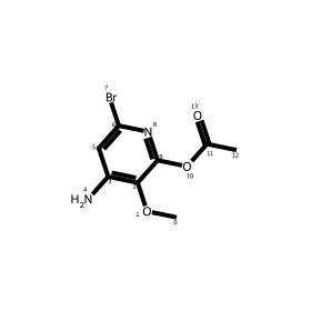 COc1c(N)cc(Br)nc1OC(C)=O